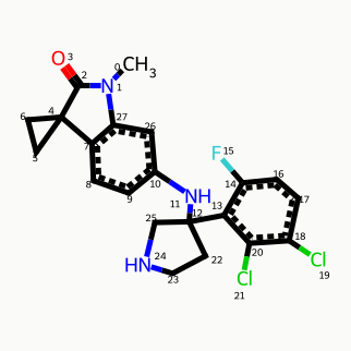 CN1C(=O)C2(CC2)c2ccc(NC3(c4c(F)ccc(Cl)c4Cl)CCNC3)cc21